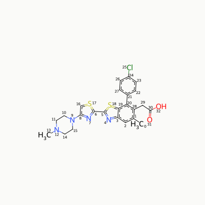 Cc1cc2nc(-c3nc(N4CCN(C)CC4)cs3)sc2c(-c2ccc(Cl)cc2)c1CC(=O)O